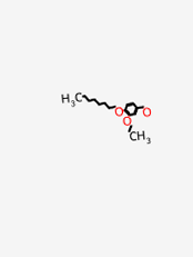 CCCCCCCCOc1ccc(C=O)cc1OCCC